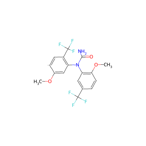 COc1[c]cc(C(F)(F)F)c(N(C(N)=O)c2cc(C(F)(F)F)ccc2OC)c1